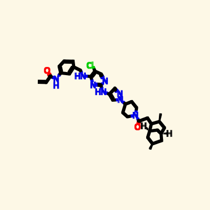 C=CC(=O)Nc1cccc(CNc2nc(Nc3cnn(C4CCN(C(=O)CC5[C@@H]6C[C@H](C)C[C@@H](C6)C[C@@H]5C)CC4)c3)ncc2Cl)c1